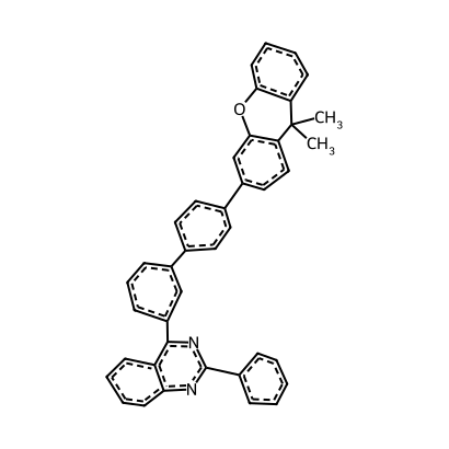 CC1(C)c2ccccc2Oc2cc(-c3ccc(-c4cccc(-c5nc(-c6ccccc6)nc6ccccc56)c4)cc3)ccc21